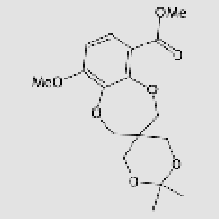 COC(=O)c1ccc(OC)c2c1OCC1(CO2)COC(C)(C)OC1